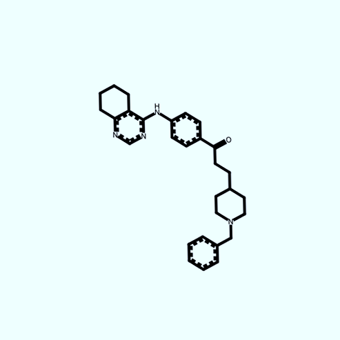 O=C(CCC1CCN(Cc2ccccc2)CC1)c1ccc(Nc2ncnc3c2CCCC3)cc1